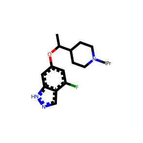 CC(Oc1cc(F)c2cn[nH]c2c1)C1CCN(C(C)C)CC1